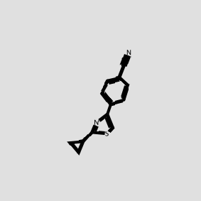 N#Cc1ccc(-c2csc(C3CC3)n2)cc1